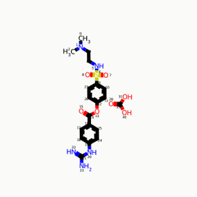 CN(C)CCNS(=O)(=O)c1ccc(OC(=O)c2ccc(NC(=N)N)cc2)cc1.O=C(O)O